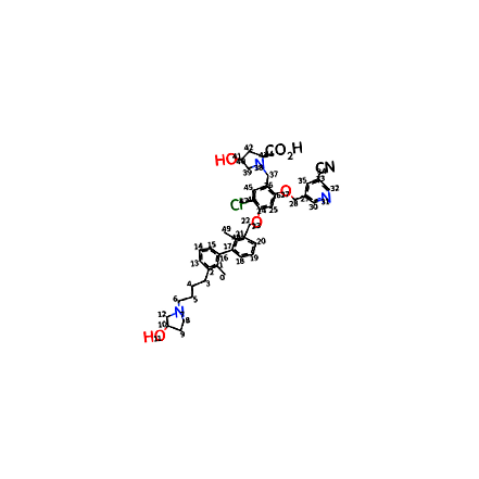 Cc1c(CCCCN2CCC(O)C2)cccc1-c1cccc(COc2cc(OCc3cncc(C#N)c3)c(CN3C[C@@H](O)C[C@H]3C(=O)O)cc2Cl)c1C